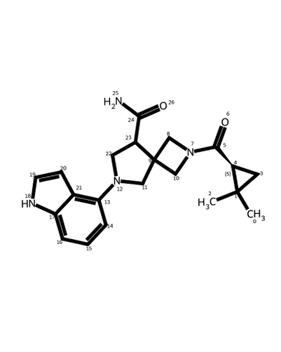 CC1(C)C[C@@H]1C(=O)N1CC2(C1)CN(c1cccc3[nH]ccc13)CC2C(N)=O